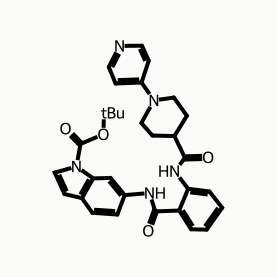 CC(C)(C)OC(=O)n1ccc2ccc(NC(=O)c3ccccc3NC(=O)C3CCN(c4ccncc4)CC3)cc21